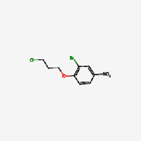 O=[N+]([O-])c1ccc(OCCCCl)c(Br)c1